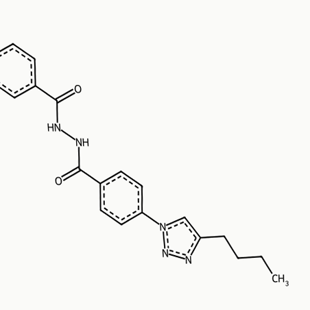 CCCCc1cn(-c2ccc(C(=O)NNC(=O)c3ccccc3)cc2)nn1